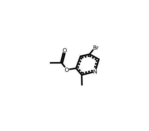 CC(=O)Oc1cc(Br)cnc1C